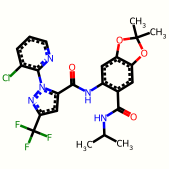 CC(C)NC(=O)c1cc2c(cc1NC(=O)c1cc(C(F)(F)F)nn1-c1ncccc1Cl)OC(C)(C)O2